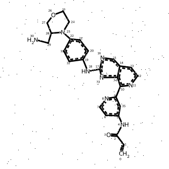 C=CC(=O)Nc1ccnc(-c2nccc3cnc(Nc4ccc(N5CCOCC5CN)cc4)nc23)c1